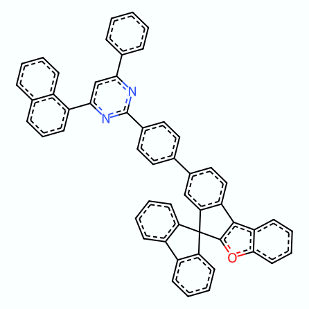 c1ccc(-c2cc(-c3cccc4ccccc34)nc(-c3ccc(-c4ccc5c(c4)C4(c6ccccc6-c6ccccc64)c4oc6ccccc6c4-5)cc3)n2)cc1